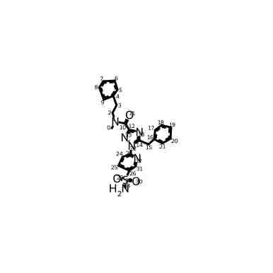 CN(CCc1ccccc1)C(=O)c1nc(Cc2ccccc2)n(-c2ccc(S(N)(=O)=O)cn2)n1